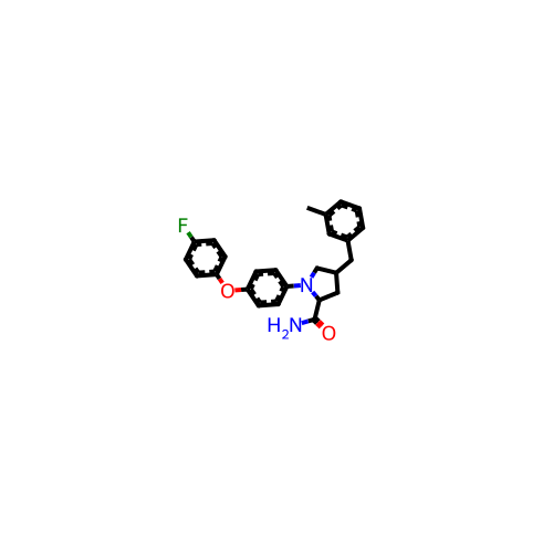 Cc1cccc(CC2CC(C(N)=O)N(c3ccc(Oc4ccc(F)cc4)cc3)C2)c1